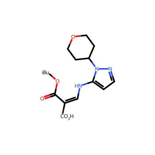 CCC(C)OC(=O)C(=CNc1ccnn1C1CCOCC1)C(=O)O